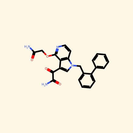 NC(=O)COc1nccc2c1c(C(=O)C(N)=O)cn2Cc1ccccc1-c1ccccc1